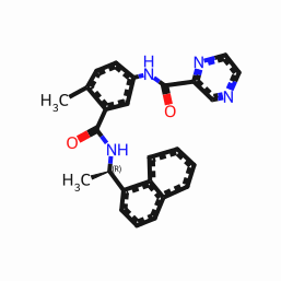 Cc1ccc(NC(=O)c2cnccn2)cc1C(=O)N[C@H](C)c1cccc2ccccc12